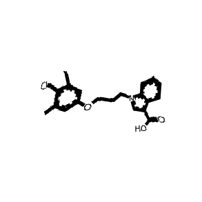 Cc1cc(OCCCn2cc(C(=O)O)c3ccccc32)cc(C)c1Cl